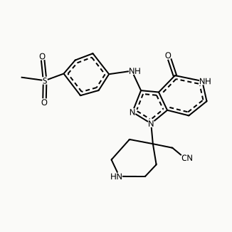 CS(=O)(=O)c1ccc(Nc2nn(C3(CC#N)CCNCC3)c3cc[nH]c(=O)c23)cc1